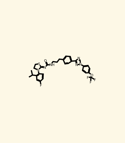 CC(C)c1cc(F)ccc1N1CCS/C1=N\C(=O)NCCCc1ccc(-c2ncn(-c3ccc(OC(F)(F)F)cc3)n2)cc1